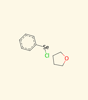 C1CCOC1.Cl[Se]c1ccccc1